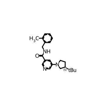 Cc1ccccc1CNC(=O)c1cncc(N2CC[C@@H](C(C)(C)C)C2)c1